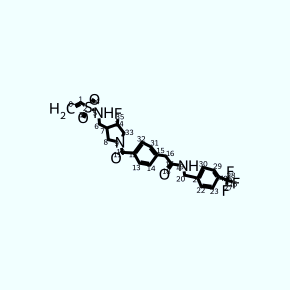 C=CS(=O)(=O)NCC1CN(C(=O)c2ccc(CC(=O)NCc3ccc(C(F)(F)F)cc3)cc2)CC1F